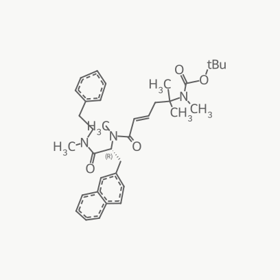 CN(CCc1ccccc1)C(=O)[C@@H](Cc1ccc2ccccc2c1)N(C)C(=O)C=CCC(C)(C)N(C)C(=O)OC(C)(C)C